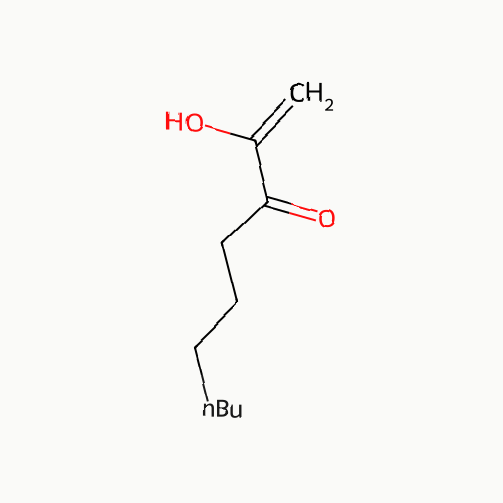 C=C(O)C(=O)CCCCCCC